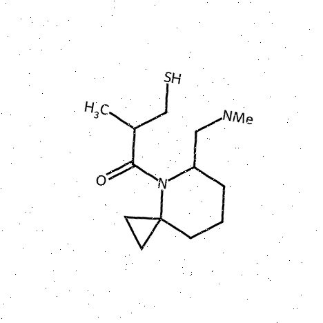 CNCC1CCCC2(CC2)N1C(=O)C(C)CS